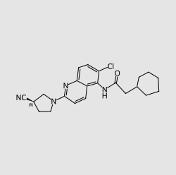 N#C[C@@H]1CCN(c2ccc3c(NC(=O)CC4CCCCC4)c(Cl)ccc3n2)C1